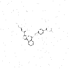 COC/C(O)=C/C(=N)c1nnc2c3ccccc3c(OCc3ccc(C(=O)NC(C)C)cn3)nn12